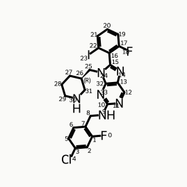 Fc1cc(Cl)ccc1CNc1ncc2nc(-c3c(F)cccc3I)n(C[C@@H]3CCCNC3)c2n1